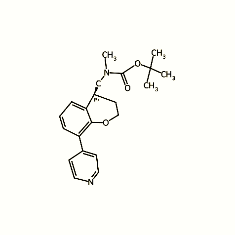 CN(C[C@H]1CCOc2c(-c3ccncc3)cccc21)C(=O)OC(C)(C)C